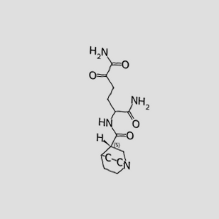 NC(=O)C(=O)CCC(NC(=O)[C@@H]1CN2CCC1CC2)C(N)=O